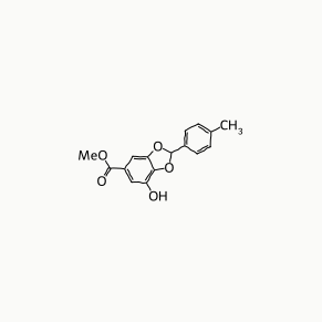 COC(=O)c1cc(O)c2c(c1)OC(c1ccc(C)cc1)O2